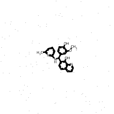 COc1cc(C(Nc2cccc(C)n2)c2ccc3cccnc3c2O)ccc1O